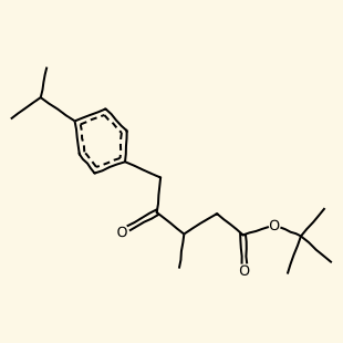 CC(CC(=O)OC(C)(C)C)C(=O)Cc1ccc(C(C)C)cc1